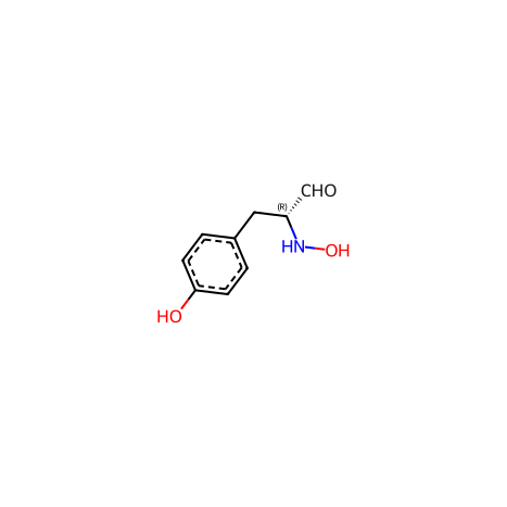 O=C[C@@H](Cc1ccc(O)cc1)NO